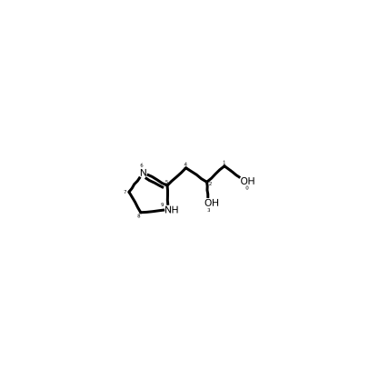 OCC(O)CC1=NCCN1